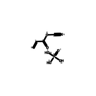 C=CC(=O)OC#N.O=P(O)(O)O